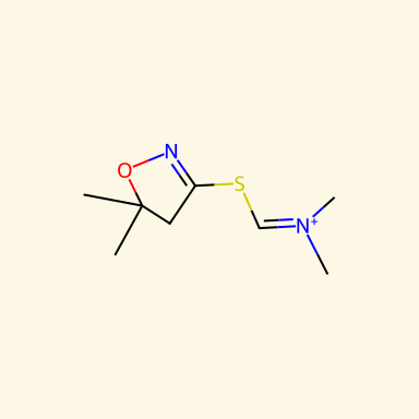 C[N+](C)=CSC1=NOC(C)(C)C1